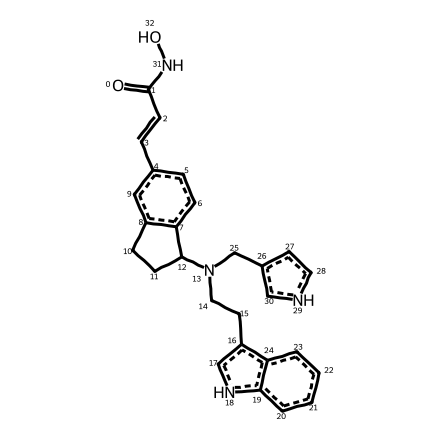 O=C(/C=C/c1ccc2c(c1)CCC2N(CCc1c[nH]c2ccccc12)Cc1cc[nH]c1)NO